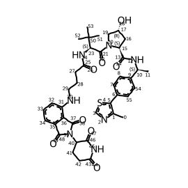 Cc1ncsc1-c1ccc([C@H](C)NC(=O)[C@@H]2C[C@@H](O)CN2C(=O)[C@@H](NC(=O)CCCNc2cccc3c2C(=O)N(C2CCC(=O)NC2=O)C3=O)C(C)(C)C)cc1